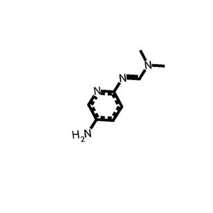 CN(C)C=Nc1ccc(N)cn1